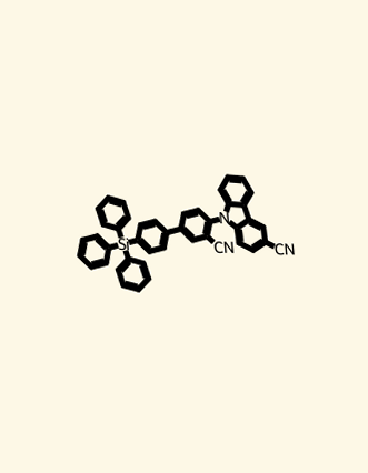 N#Cc1ccc2c(c1)c1ccccc1n2-c1ccc(-c2ccc([Si](c3ccccc3)(c3ccccc3)c3ccccc3)cc2)cc1C#N